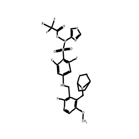 COc1ccc(F)c(CNc2cc(F)c(S(=O)(=O)N(OC(=O)C(F)(F)F)c3cscn3)c(F)c2)c1CN1C2CCC1CC2